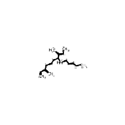 C=CC(=C)CCCC(NCCCCC)C(=C)CC